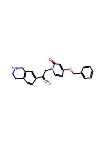 C=C(Cn1ccc(OCc2ccccc2)cc1=O)c1ccc2c(c1)CNCC2